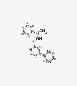 CC(NCc1cccc(-c2cnccn2)c1)c1ccccc1